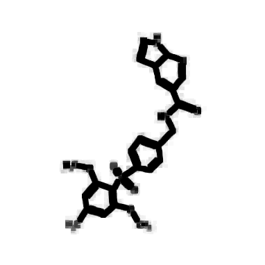 COc1cc(C)cc(OC)c1S(=O)(=O)c1ccc(CNC(=O)C2=CC3C=NNC3N=C2)cc1